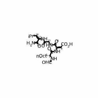 CCCCCCCC[C@@H](NC=O)C(=O)N/C(=C/C(=O)O)C(=O)NCC(=O)N/C(=C/C(C)C)C(N)=O